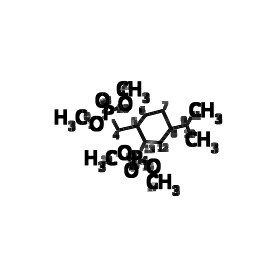 COP(=O)(CC1CCC(C(C)C)CC1P(=O)(OC)OC)OC